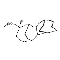 CCC1(OC(C)=O)CCC2CC1C1C3CCC(C3)C21